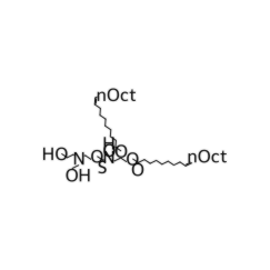 CCCCCCCC/C=C\CCCCCCCC(=O)OCC(CNC(=S)OCCN(CCO)CCO)OC(=O)CCCCCCC/C=C\CCCCCCCC